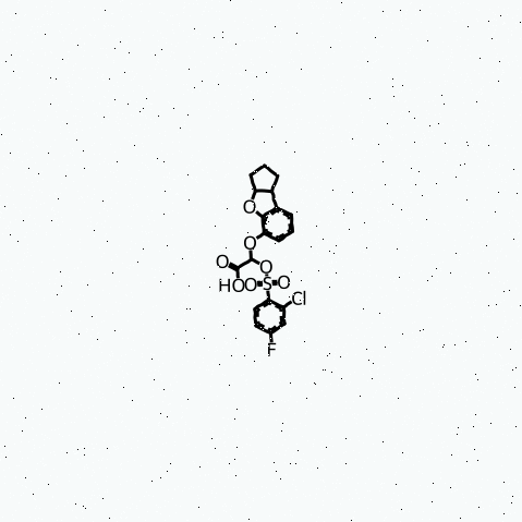 O=C(O)C(Oc1cccc2c1OC1CCCC21)OS(=O)(=O)c1ccc(F)cc1Cl